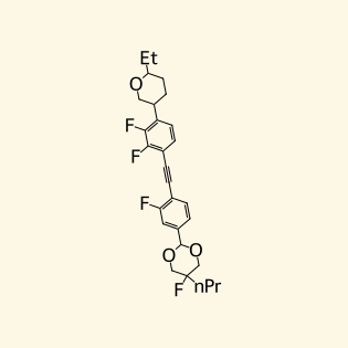 CCCC1(F)COC(c2ccc(C#Cc3ccc(C4CCC(CC)OC4)c(F)c3F)c(F)c2)OC1